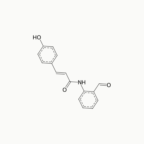 O=Cc1ccccc1NC(=O)/C=C/c1ccc(O)cc1